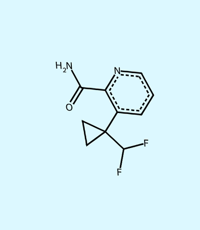 NC(=O)c1ncccc1C1(C(F)F)CC1